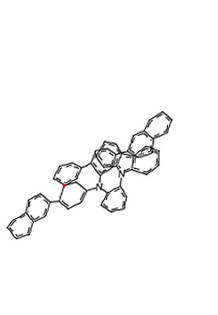 C1=C(c2ccc3ccccc3c2)CCC(N(c2cc(-c3ccc4ccccc4c3)ccc2-c2ccccc2)c2ccccc2-n2c3ccccc3c3ccccc32)=C1